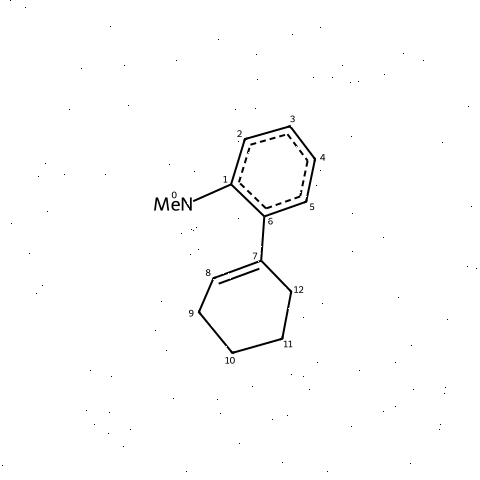 CNc1ccccc1C1=CCCCC1